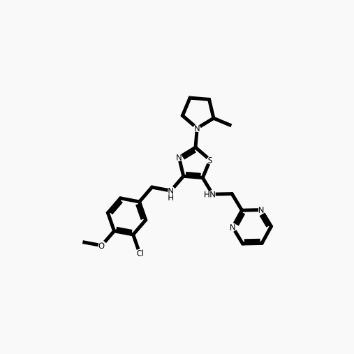 COc1ccc(CNc2nc(N3CCCC3C)sc2NCc2ncccn2)cc1Cl